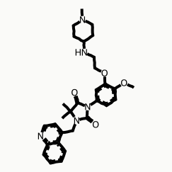 COc1ccc(N2C(=O)N(Cc3ccnc4ccccc34)C(C)(C)C2=O)cc1OCCNC1CCN(C)CC1